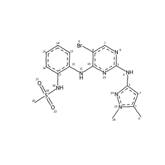 Cc1cc(Nc2ncc(Br)c(Nc3ccccc3NS(C)(=O)=O)n2)nn1C